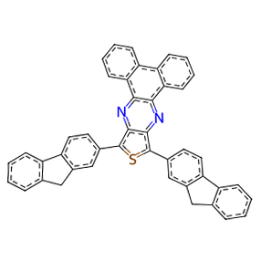 c1ccc2c(c1)Cc1cc(-c3sc(-c4ccc5c(c4)Cc4ccccc4-5)c4nc5c6ccccc6c6ccccc6c5nc34)ccc1-2